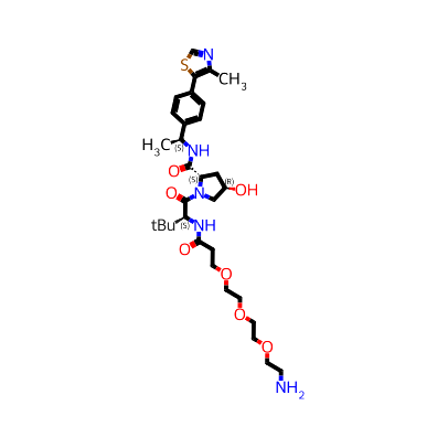 Cc1ncsc1-c1ccc([C@H](C)NC(=O)[C@@H]2C[C@@H](O)CN2C(=O)[C@@H](NC(=O)CCOCCOCCOCCN)C(C)(C)C)cc1